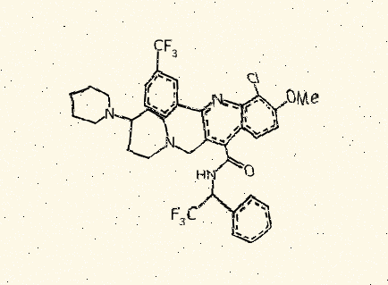 COc1ccc2c(C(=O)NC(c3ccccc3)C(F)(F)F)c(CN3CCC(N4CCCCC4)CC3)c(-c3cccc(C(F)(F)F)c3)nc2c1Cl